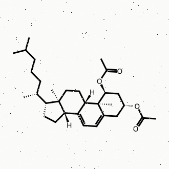 CC(=O)O[C@@H]1CC2=CC=C3[C@@H]4CC[C@H]([C@H](C)CCCC(C)C)[C@@]4(C)CC[C@@H]3[C@@]2(C)[C@@H](OC(C)=O)C1